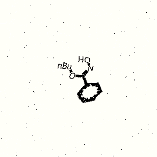 CCCCOC(=NO)c1ccccc1